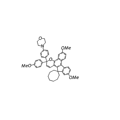 COc1ccc(C2(c3ccc(N4CCOCC4)cc3)C=Cc3c4c(c5ccc(OC)cc5c3O2)-c2ccc(OC)cc2C42CCCCCCC2)cc1